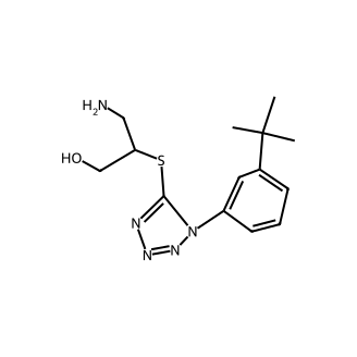 CC(C)(C)c1cccc(-n2nnnc2SC(CN)CO)c1